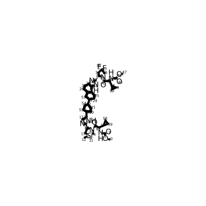 COC(=O)N[C@H](C(=O)N1C[Si](C)(C)C[C@H]1c1ncc(-c2ccc(-c3ccc4c(ccc5nc([C@@H]6CC(F)(F)CN6C(=O)[C@@H](NC(=O)OC)C6CC6)[nH]c54)c3)cc2)[nH]1)C1CC1